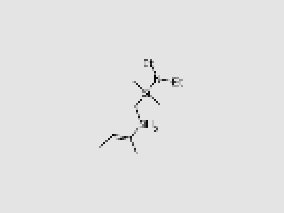 CC=C(C)[SiH2]C[Si](C)(C)N(CC)CC